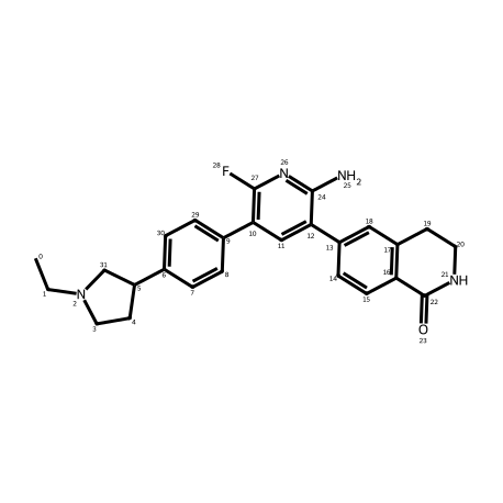 CCN1CCC(c2ccc(-c3cc(-c4ccc5c(c4)CCNC5=O)c(N)nc3F)cc2)C1